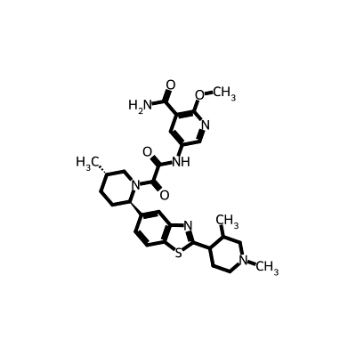 COc1ncc(NC(=O)C(=O)N2C[C@@H](C)CC[C@@H]2c2ccc3sc(C4CCN(C)CC4C)nc3c2)cc1C(N)=O